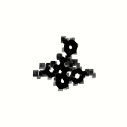 COc1c(C(=O)Nc2cccc(F)c2)c(=O)n(CC(C)C)c2cccc(N3CCN(C)CC3)c12